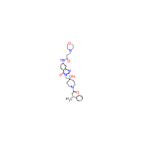 CC(CC(=O)N1CCC(O)(Cn2cnc3cc(NC(=O)CCN4CCOCC4)ccc3c2=O)CC1)c1ccccc1